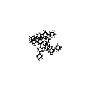 c1ccc(-c2cccc(-c3nc(-c4cccc(-c5ccccc5)c4)nc(-c4cccc5c4-c4ccc(-c6ccccc6)cc4C54c5cc(-c6ccccc6)ccc5-c5ccc(-c6ccccc6)cc54)n3)c2)cc1